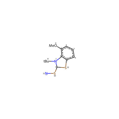 COc1cccc2c1N(C(C)(C)C)C(S[N])S2